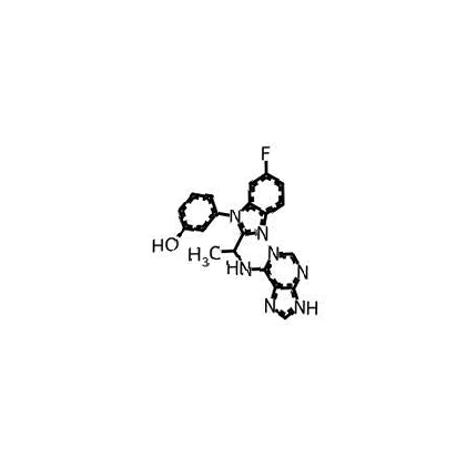 CC(Nc1ncnc2[nH]cnc12)c1nc2ccc(F)cc2n1-c1cccc(O)c1